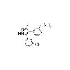 Cc1n[nH]c(-c2cccc(Cl)c2)c1-c1ccnc(CN)c1